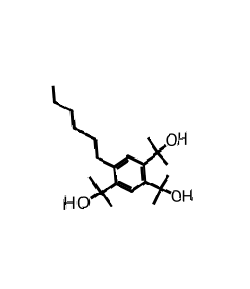 CCCCCCc1cc(C(C)(C)O)c(C(C)(C)O)cc1C(C)(C)O